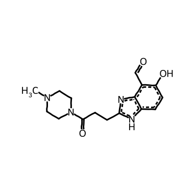 CN1CCN(C(=O)CCc2nc3c(C=O)c(O)ccc3[nH]2)CC1